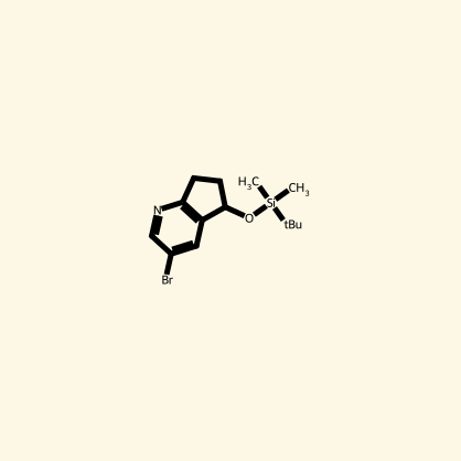 CC(C)(C)[Si](C)(C)OC1CCc2ncc(Br)cc21